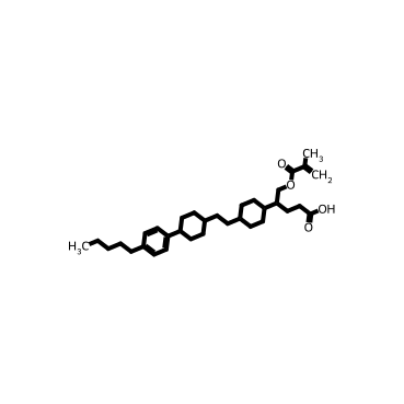 C=C(C)C(=O)OCC(CCC(=O)O)C1CCC(CCC2CCC(c3ccc(CCCCC)cc3)CC2)CC1